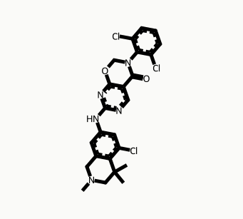 CN1Cc2cc(Nc3ncc4c(n3)OCN(c3c(Cl)cccc3Cl)C4=O)cc(Cl)c2C(C)(C)C1